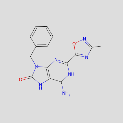 Cc1noc(C2=Nc3c([nH]c(=O)n3Cc3ccccc3)C(N)N2)n1